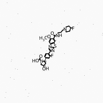 COc1cc2c(cc1C(=O)NCCCN1CCC(F)CC1)sc1nc(-c3ccc([C@H]4C[C@@H](O)CN4C(=O)O)cc3F)cn12